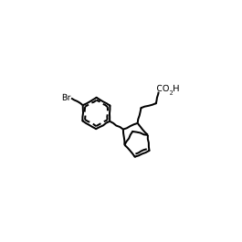 O=C(O)CCC1C2C=CC(C2)C1c1ccc(Br)cc1